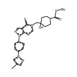 Cc1cnn(-c2ccc(-n3ncc4c(=O)n(CC5(O)CCN(C(=O)OC(C)(C)C)CC5)cnc43)cc2)c1